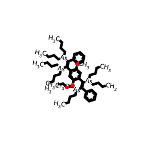 CCCC[As](CCCC)C(=C(c1cc(OC)c(C(=C(c2ccccc2)[As](CCCC)CCCC)[As](CCCC)CCCC)cc1OC)[As](CCCC)CCCC)c1ccccc1